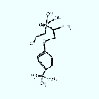 CC(COc1ccc(C(C)(C)C)cc1)S(=O)(O)(O)CCCl